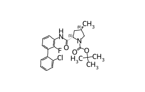 C[C@@H]1C[C@@H](C(=O)Nc2cccc(-c3ccccc3Cl)c2F)N(C(=O)OC(C)(C)C)C1